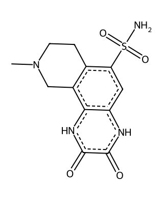 CN1CCc2c(S(N)(=O)=O)cc3[nH]c(=O)c(=O)[nH]c3c2C1